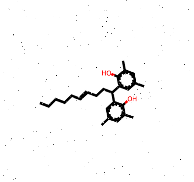 CCCCC/C=C/CCC(c1cc(C)cc(C)c1O)c1cc(C)cc(C)c1O